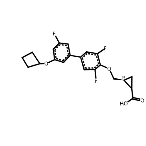 O=C(O)C1C[C@@H]1COc1c(F)cc(-c2cc(F)cc(OC3CCC3)c2)cc1F